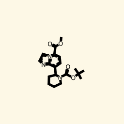 COC(=O)c1ccc(C2CCCCN2C(=O)OC(C)(C)C)c2nccn12